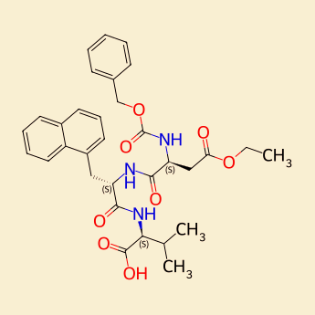 CCOC(=O)C[C@H](NC(=O)OCc1ccccc1)C(=O)N[C@@H](Cc1cccc2ccccc12)C(=O)N[C@H](C(=O)O)C(C)C